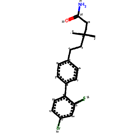 [CH2]C(C)(CCc1ccc(-c2ccc(Br)cc2F)cc1)CC(N)=O